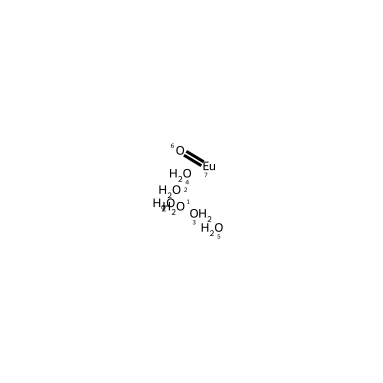 O.O.O.O.O.O.[O]=[Eu]